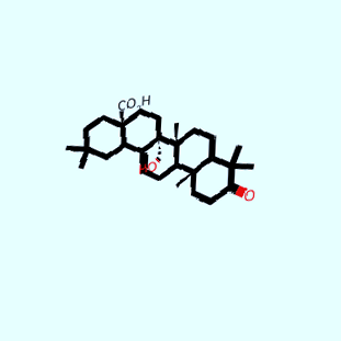 CC1(C)CC[C@]2(C(=O)O)CC[C@]3(CO)C(=CCC4[C@@]5(C)CCC(=O)C(C)(C)C5CC[C@]43C)C2C1